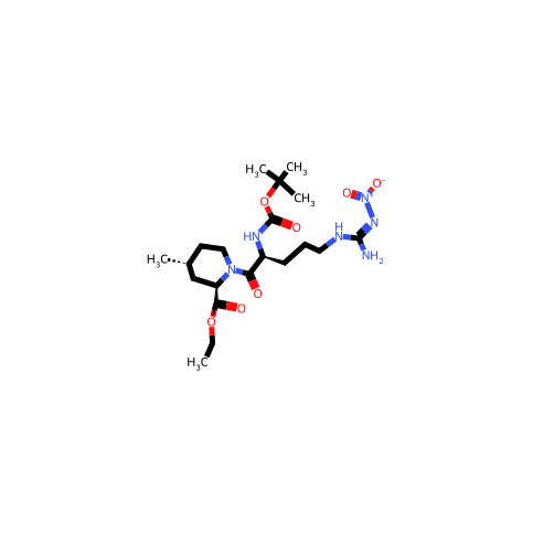 CCOC(=O)[C@H]1C[C@H](C)CCN1C(=O)[C@H](CCCN/C(N)=N\[N+](=O)[O-])NC(=O)OC(C)(C)C